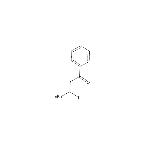 CCCCC(I)CC(=O)c1ccccc1